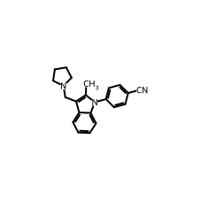 Cc1c(CN2CCCC2)c2ccccc2n1-c1ccc(C#N)cc1